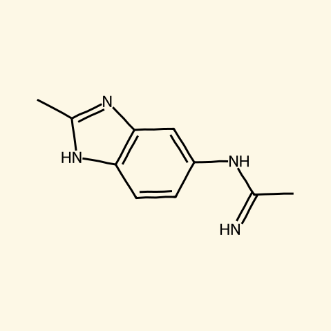 CC(=N)Nc1ccc2[nH]c(C)nc2c1